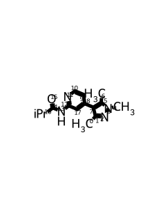 Cc1nn(C)c(C)c1-c1ccnc(NC(=O)C(C)C)c1